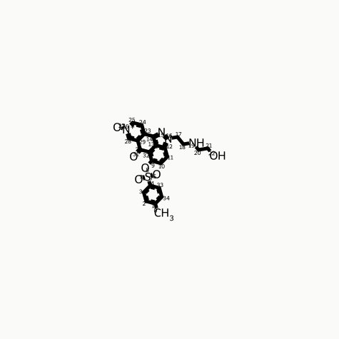 Cc1ccc(S(=O)(=O)Oc2ccc3c4c(nn3CCNCCO)-c3cc[n+]([O-])cc3C(=O)c24)cc1